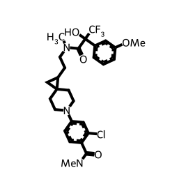 CNC(=O)c1ccc(N2CCC3(CC2)CC3CCN(C)C(=O)C(O)(c2cccc(OC)c2)C(F)(F)F)cc1Cl